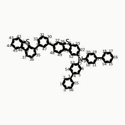 c1ccc(-c2ccc(N(c3ccc(-c4ccccc4)cc3)c3ccc4sc5cc(-c6cccc(-c7cccc8c7sc7ccccc78)c6)ccc5c4c3)cc2)cc1